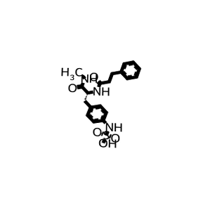 CNC(=O)[C@@H](Cc1ccc(NS(=O)(=O)O)cc1)NC(=O)CCc1ccccc1